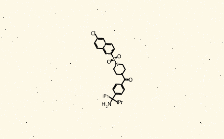 CC(C)C(N)(c1ccc(C(=O)C2CCN(S(=O)(=O)c3ccc4cc(Cl)ccc4c3)CC2)cc1)C(C)C